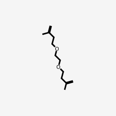 C=C(C)CCOCCOCCC(=C)C